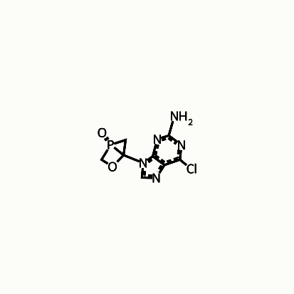 Nc1nc(Cl)c2ncn(C34CP3(=O)CO4)c2n1